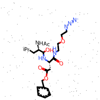 CC(=O)N[C@H](CC(C)C)C(O)N[C@@H](CC(=O)OCc1ccccc1)C(=O)NCCOCCN=[N+]=[N-]